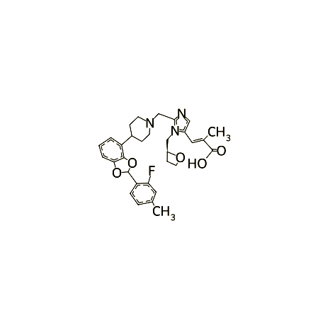 C/C(=C\c1cnc(CN2CCC(c3cccc4c3OC(c3ccc(C)cc3F)O4)CC2)n1C[C@@H]1CCO1)C(=O)O